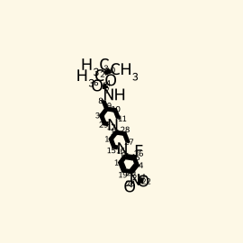 CC(C)(C)OC(=O)NCC1CCN(C2CCN(c3ccc([N+](=O)[O-])cc3F)CC2)CC1